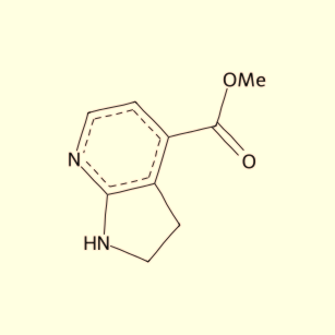 COC(=O)c1ccnc2c1CCN2